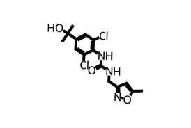 Cc1cc(CNC(=O)Nc2c(Cl)cc(C(C)(C)O)cc2Cl)no1